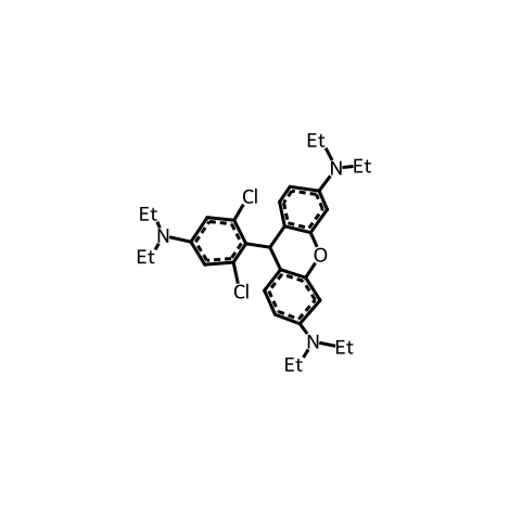 CCN(CC)c1cc(Cl)c(C2c3ccc(N(CC)CC)cc3Oc3cc(N(CC)CC)ccc32)c(Cl)c1